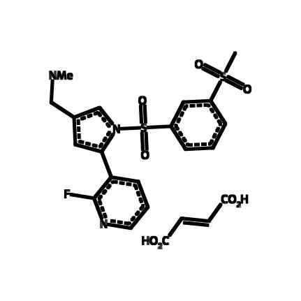 CNCc1cc(-c2cccnc2F)n(S(=O)(=O)c2cccc(S(C)(=O)=O)c2)c1.O=C(O)C=CC(=O)O